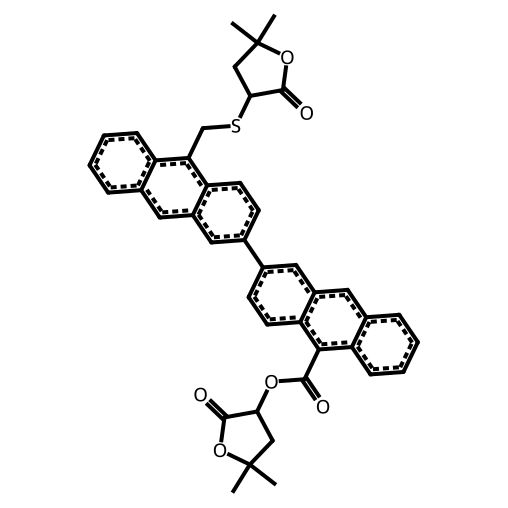 CC1(C)CC(OC(=O)c2c3ccccc3cc3cc(-c4ccc5c(CSC6CC(C)(C)OC6=O)c6ccccc6cc5c4)ccc23)C(=O)O1